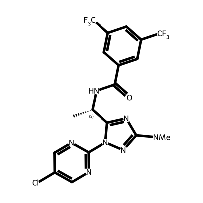 CNc1nc([C@H](C)NC(=O)c2cc(C(F)(F)F)cc(C(F)(F)F)c2)n(-c2ncc(Cl)cn2)n1